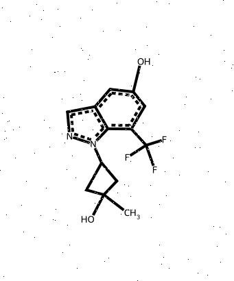 CC1(O)CC(n2ncc3cc(O)cc(C(F)(F)F)c32)C1